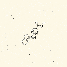 CCOC(=O)c1cnc(N[C@@H]2CCc3ccccc32)nc1